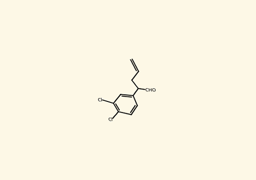 C=CCC(C=O)c1ccc(Cl)c(Cl)c1